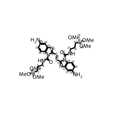 CO[Si](CCCNC(=O)n1c(SSc2nc3cc(N)ccc3n2C(=O)NCCC[Si](OC)(OC)OC)nc2cc(N)ccc21)(OC)OC